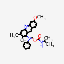 COc1ccc2cc3c(N(COC(=O)NC(C)C)c4ccccc4)c(C)c(C)cc3nc2c1